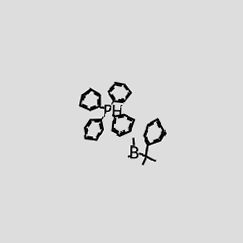 CB(C)C(C)(C)c1ccccc1.c1ccc([PH](c2ccccc2)(c2ccccc2)c2ccccc2)cc1